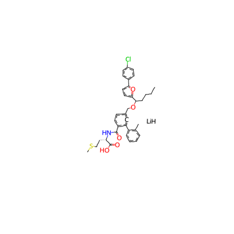 CCCCC(OCc1ccc(C(=O)N[C@@H](CCSC)C(=O)O)c(-c2ccccc2C)c1)c1ccc(-c2ccc(Cl)cc2)o1.[LiH]